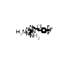 Nc1nc(N)c2nc(C(Cl)=Cc3ccc(C(F)(F)F)cc3)cnc2n1